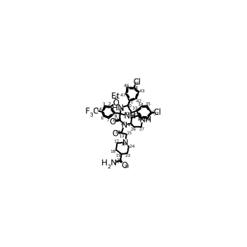 CCOc1cc(C(F)(F)F)ccc1C1(C(=O)N(C(=O)CN2CCC(C(N)=O)CC2)C2CCNCC2)NC(c2ccc(Cl)cc2)C(c2ccc(Cl)cc2)N1